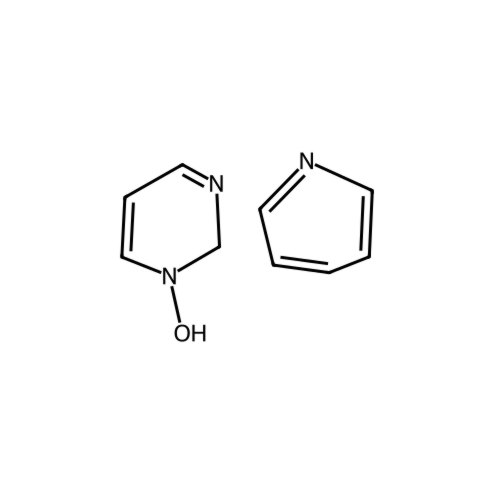 ON1C=CC=NC1.c1ccncc1